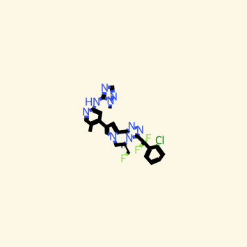 Cc1cnc(Nc2ncnn2C)cc1-c1cc2n(c1)C[C@H](CF)n1c-2nnc1C(F)(F)c1ccccc1Cl